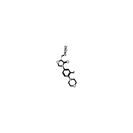 [N-]=[N+]=NC[C@H]1OCN(c2ccc(N3CCOCC3)c(F)c2)C1=O